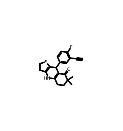 C#Cc1cc(C2C3=C(CCS3)NC3=C2C(=O)C(C)(C)CC3)ccc1F